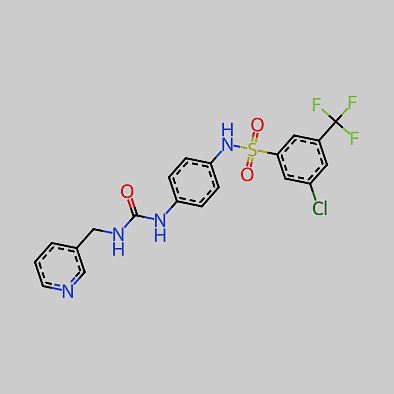 O=C(NCc1cccnc1)Nc1ccc(NS(=O)(=O)c2cc(Cl)cc(C(F)(F)F)c2)cc1